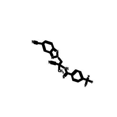 CC(C#N)(Cn1nc2ccc(C#N)cc2n1)NC(=S)c1ccc(C(F)(F)F)cc1